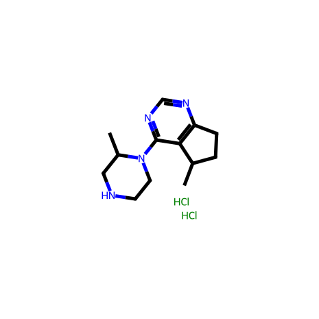 CC1CCc2ncnc(N3CCNCC3C)c21.Cl.Cl